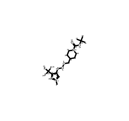 Cn1cc(SOOCC2CCN(C(=O)OC(C)(C)C)CC2)c(C(F)(F)F)n1